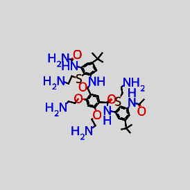 CC(=O)Nc1cc(C(C)(C)C)cc(NC(=O)c2cc(C(=O)Nc3cc(C(C)(C)C)cc(NC(N)=O)c3SCCN)c(OCCN)cc2OCCN)c1SCCN